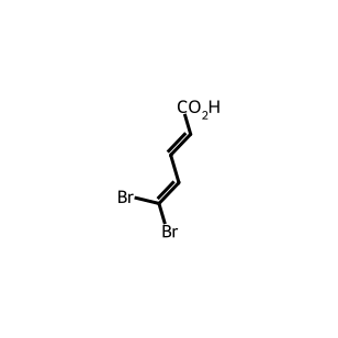 O=C(O)/C=C/C=C(Br)Br